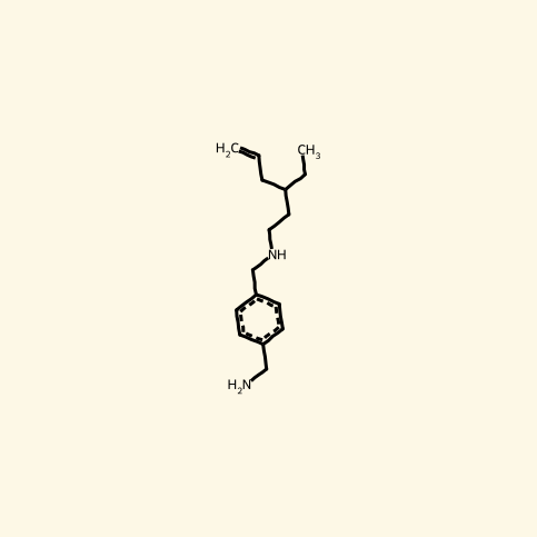 C=CCC(CC)CCNCc1ccc(CN)cc1